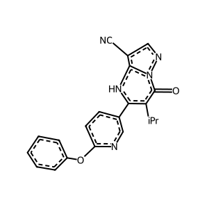 CC(C)c1c(-c2ccc(Oc3ccccc3)nc2)[nH]c2c(C#N)cnn2c1=O